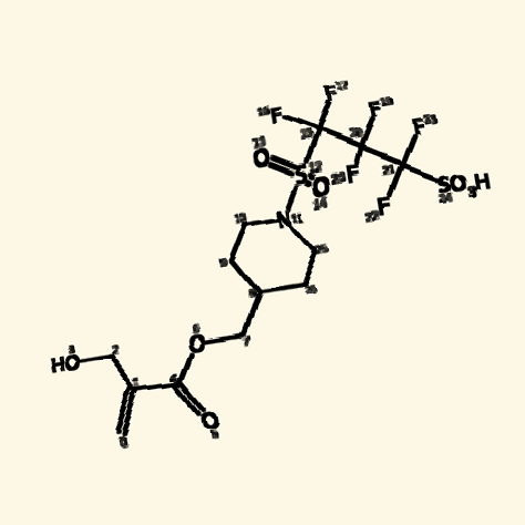 C=C(CO)C(=O)OCC1CCN(S(=O)(=O)C(F)(F)C(F)(F)C(F)(F)S(=O)(=O)O)CC1